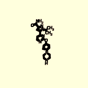 C=C(C)n1nc(C(N)=O)cc1-c1ccnc(Oc2ccc(N3CCNCC3)cc2)n1